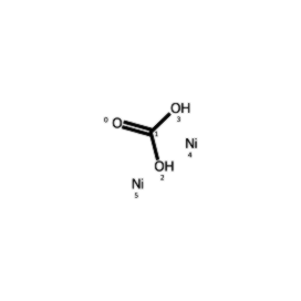 O=C(O)O.[Ni].[Ni]